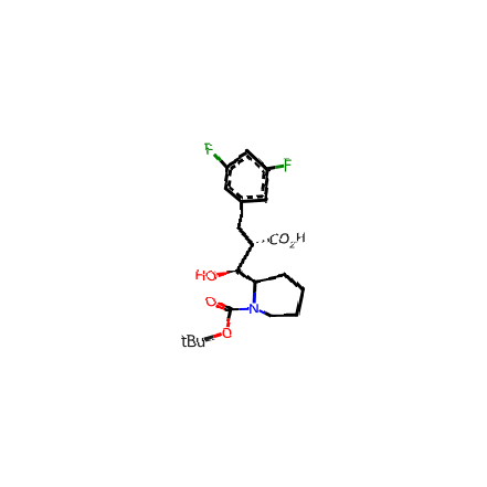 CC(C)(C)OC(=O)N1CCCCC1[C@@H](O)[C@H](Cc1cc(F)cc(F)c1)C(=O)O